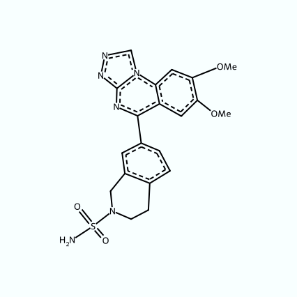 COc1cc2c(-c3ccc4c(c3)CN(S(N)(=O)=O)CC4)nc3nncn3c2cc1OC